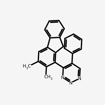 Cc1cc2c(c(-c3nnncc3-c3ccccc3)c1C)Cc1ccccc1-2